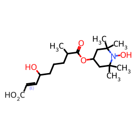 CC(CCCC(O)/C=C/C(=O)O)C(=O)OC1CC(C)(C)N(O)C(C)(C)C1